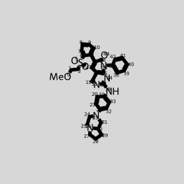 COCCS(=O)(=O)c1ccccc1-c1cc2cnc(Nc3ccc(N4CCN5CCCC5C4)cc3)nc2n(-c2ccccc2)c1=O